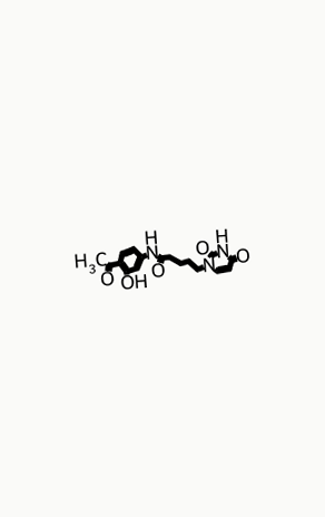 CC(=O)c1ccc(NC(=O)CCCCn2ccc(=O)[nH]c2=O)cc1O